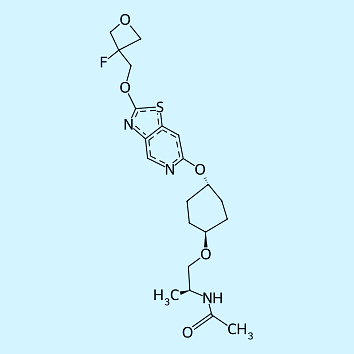 CC(=O)N[C@@H](C)CO[C@H]1CC[C@H](Oc2cc3sc(OCC4(F)COC4)nc3cn2)CC1